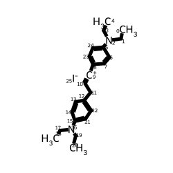 CCN(CC)c1ccc([C+]=CCc2ccc(N(CC)CC)cc2)cc1.[I-]